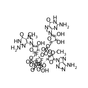 CO[C@@H]1[C@H](OP(=O)([O-])OC[C@H]2O[C@@H](n3cnc4c(=O)[nH]c(N)nc43)[C@H](O)[C@@H]2O)[C@@H](COP(=O)(O)OP(=O)(O)OP(=O)(O)OC[C@H]2O[C@@H](n3c[n+](C)c4c(=O)[nH]c(N)nc43)[C@H](O)[C@@H]2COC(F)(F)F)O[C@H]1n1cnc2c(N)ncnc21